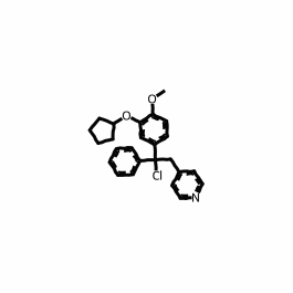 COc1ccc(C(Cl)(Cc2ccncc2)c2ccccc2)cc1OC1CCCC1